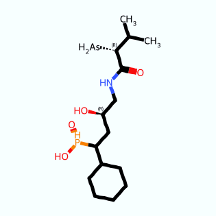 CC(C)[C@@H]([AsH2])C(=O)NC[C@H](O)CC(C1CCCCC1)[PH](=O)O